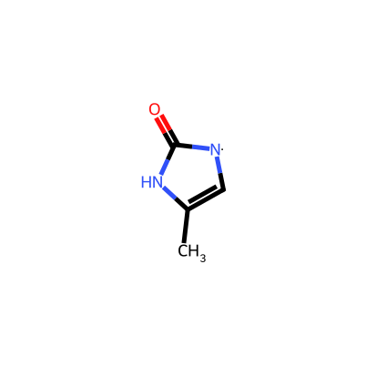 CC1=C[N]C(=O)N1